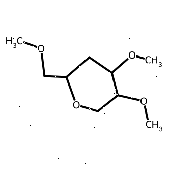 COCC1CC(OC)C(OC)CO1